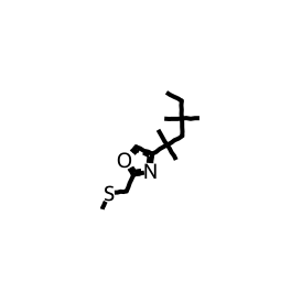 CCC(C)(C)CC(C)(C)c1coc(CSC)n1